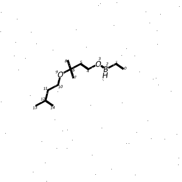 CCBOCCC(C)(C)OCCC(C)C